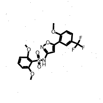 COc1ccc(C(F)(F)F)cc1-c1cc(NS(=O)(=O)c2c(OC)cccc2OC)no1